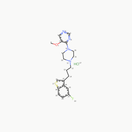 COc1cncnc1N1CCN(CCCc2csc3ccc(F)cc23)CC1.Cl